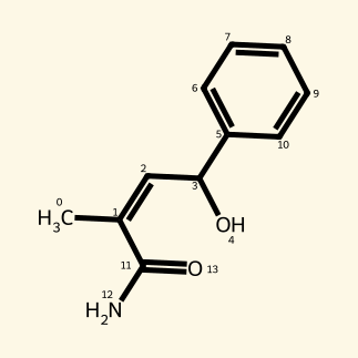 CC(=CC(O)c1ccccc1)C(N)=O